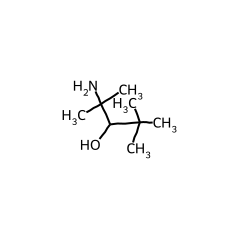 CC(C)(C)C(O)C(C)(C)N